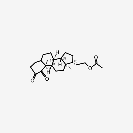 CC(=O)OCC[C@H]1CC[C@H]2[C@@H]3CCC4CCC(=O)C(=O)[C@]4(C)[C@H]3CC[C@]12C